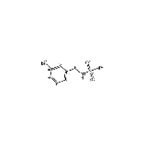 CC(C)S(=O)(=O)NCc1cccc(Br)c1